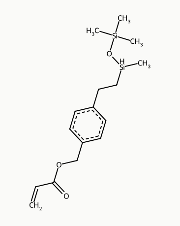 C=CC(=O)OCc1ccc(CC[SiH](C)O[Si](C)(C)C)cc1